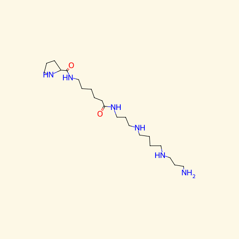 NCCCNCCCCNCCCNC(=O)CCCCCNC(=O)C1CCCN1